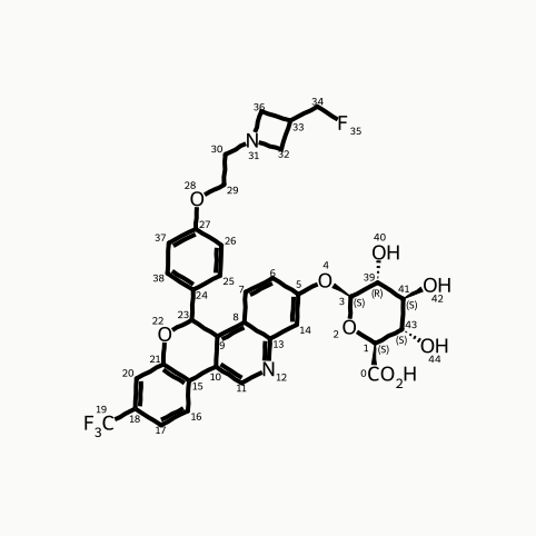 O=C(O)[C@H]1O[C@@H](Oc2ccc3c4c(cnc3c2)-c2ccc(C(F)(F)F)cc2OC4c2ccc(OCCN3CC(CF)C3)cc2)[C@H](O)[C@@H](O)[C@@H]1O